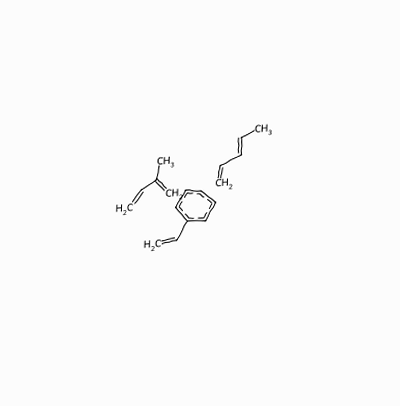 C=CC(=C)C.C=CC=CC.C=Cc1ccccc1